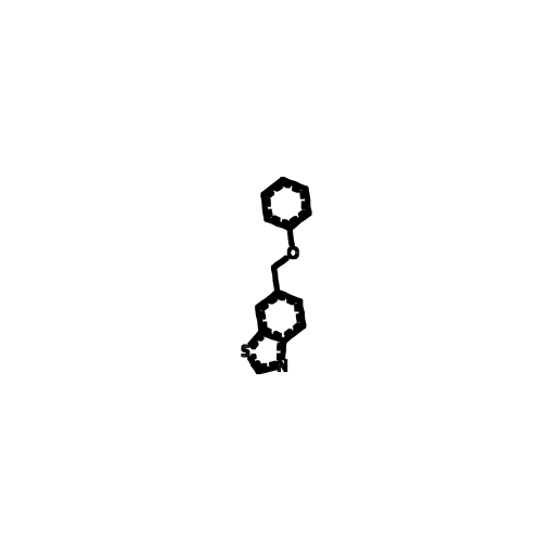 c1ccc(OCc2ccc3ncsc3c2)cc1